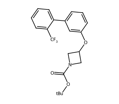 CC(C)(C)OC(=O)N1CC(Oc2cccc(-c3ccccc3C(F)(F)F)c2)C1